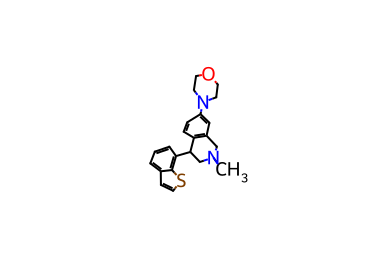 CN1Cc2cc(N3CCOCC3)ccc2C(c2cccc3ccsc23)C1